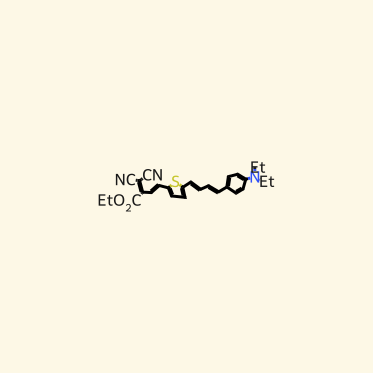 CCOC(=O)C(/C=C/c1ccc(/C=C/C=C/c2ccc(N(CC)CC)cc2)s1)=C(C#N)C#N